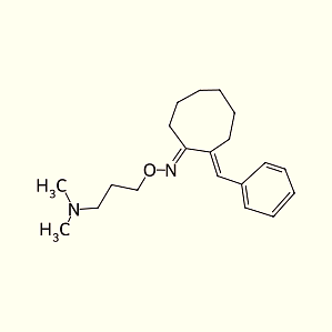 CN(C)CCCO/N=C1\CCCCCC\C1=C/c1ccccc1